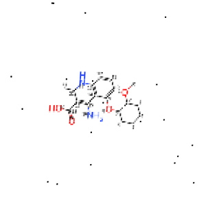 COC1CCCCC1Oc1cccc2c1C(N)=C(C(=O)O)C(C)N2